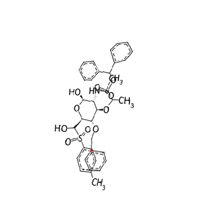 CC(=O)N[C@@H]1[C@@H](OC(C)C(=O)OC(c2ccccc2)c2ccccc2)[C@H](OCc2ccccc2)[C@@H](C(O)S(=O)(=O)c2ccc(C)cc2)O[C@H]1O